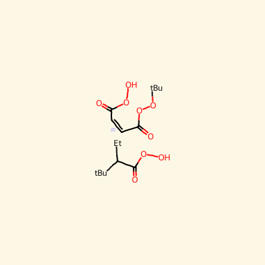 CC(C)(C)OOC(=O)/C=C\C(=O)OO.CCC(C(=O)OO)C(C)(C)C